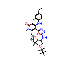 CCc1ccc(Nc2cc(=O)n(C)cc2-c2nnc(NC(CO[Si](C)(C)C(C)(C)C)C(O[SiH](C)C)C(C)(C)C)o2)c(F)c1